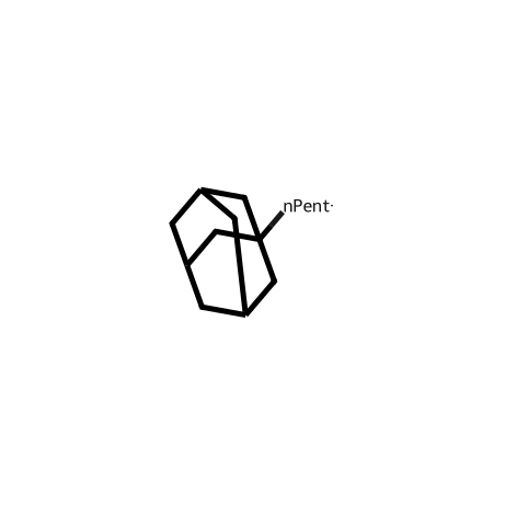 CCCC[CH]C12CC3CC(CC(C3)C1)C2